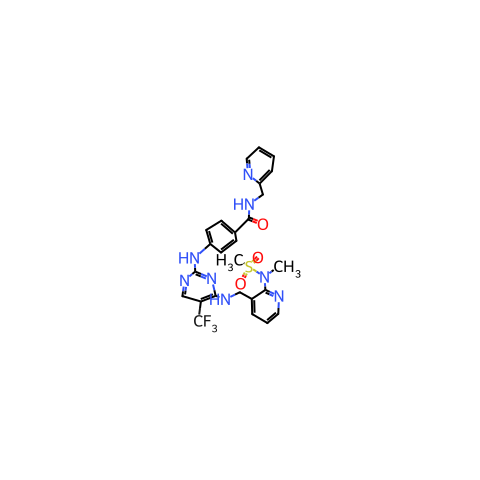 CN(c1ncccc1CNc1nc(Nc2ccc(C(=O)NCc3ccccn3)cc2)ncc1C(F)(F)F)S(C)(=O)=O